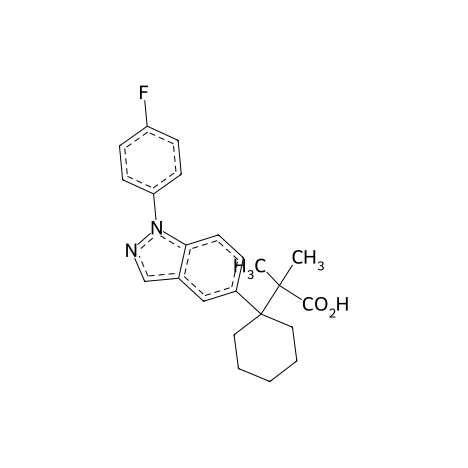 CC(C)(C(=O)O)C1(c2ccc3c(cnn3-c3ccc(F)cc3)c2)CCCCC1